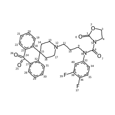 O=C1OCCN1C(=O)N(CCCN1CCC2(CC1)c1ccccc1S(=O)(=O)c1ccccc12)c1ccc(F)c(F)c1